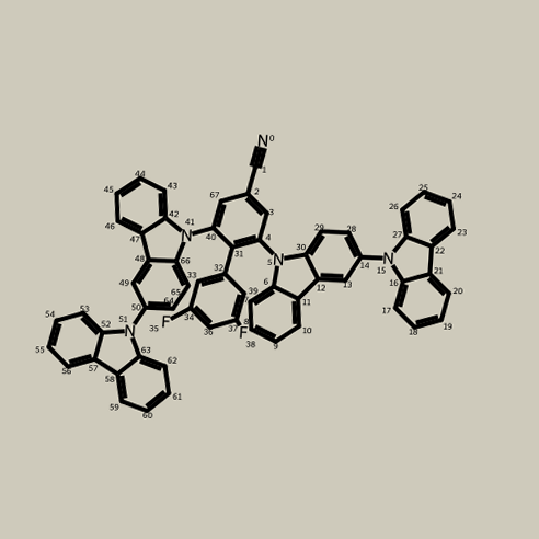 N#Cc1cc(-n2c3ccccc3c3cc(-n4c5ccccc5c5ccccc54)ccc32)c(-c2cc(F)cc(F)c2)c(-n2c3ccccc3c3cc(-n4c5ccccc5c5ccccc54)ccc32)c1